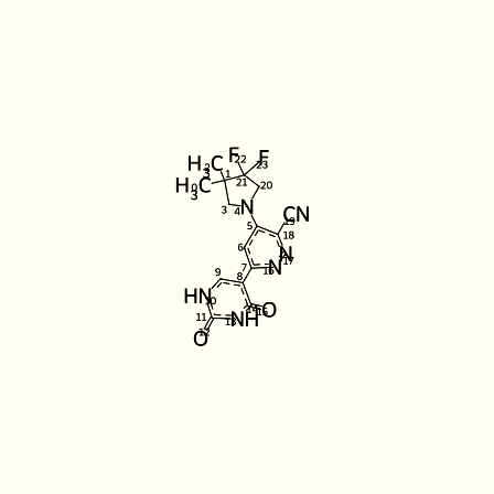 CC1(C)CN(c2cc(-c3c[nH]c(=O)[nH]c3=O)nnc2C#N)CC1(F)F